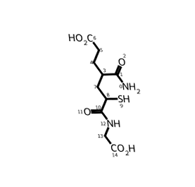 NC(=O)C(CCC(=O)O)CC(S)C(=O)NCC(=O)O